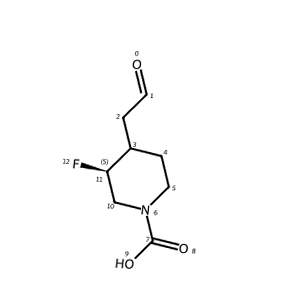 O=CCC1CCN(C(=O)O)C[C@H]1F